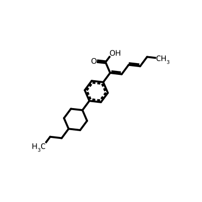 CCC=CC=C(C(=O)O)c1ccc(C2CCC(CCC)CC2)cc1